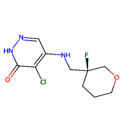 O=c1[nH]ncc(NC[C@@]2(F)CCCOC2)c1Cl